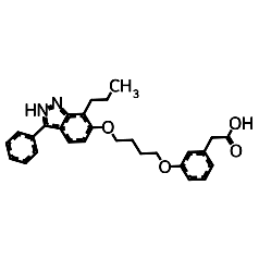 CCCc1c(OCCCCOc2cccc(CC(=O)O)c2)ccc2c(-c3ccccc3)[nH]nc12